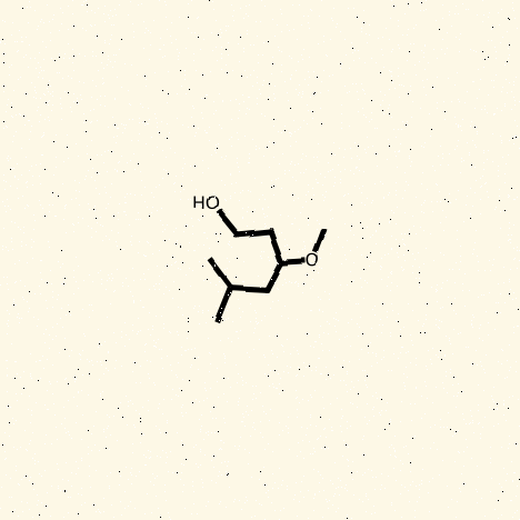 COC(CCO)CC(C)C